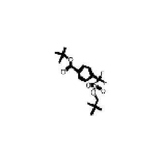 CC(C)(C)COS(=O)(=O)C(F)(F)c1ccc(C(=O)OC(C)(C)C)cc1